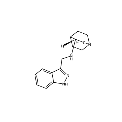 c1ccc2c(CN[C@H]3CN4CCC3CC4)n[nH]c2c1